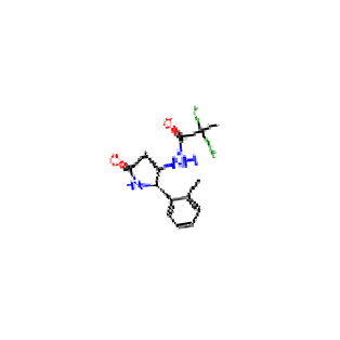 Cc1ccccc1[C@H]1NC(=O)CC1NC(=O)C(C)(F)F